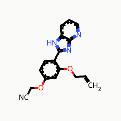 C=CCOc1cc(OCC#N)ccc1-c1nc2ncccc2[nH]1